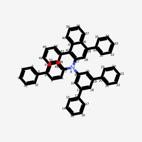 c1ccc(-c2ccc(N(c3cc(-c4ccccc4)cc(-c4ccccc4)c3)c3cc(-c4ccccc4)c4ccccc4c3-c3ccccc3)cc2)cc1